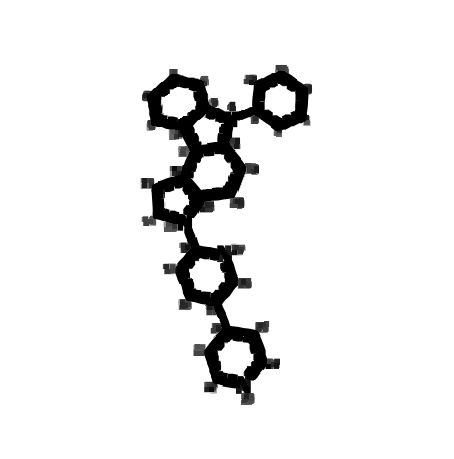 c1ccc(-n2c3ccccc3c3c4ccn(-c5ccc(-c6ccncc6)cn5)c4ccc32)cc1